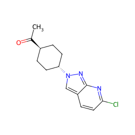 CC(=O)[C@H]1CC[C@H](n2cc3ccc(Cl)nc3n2)CC1